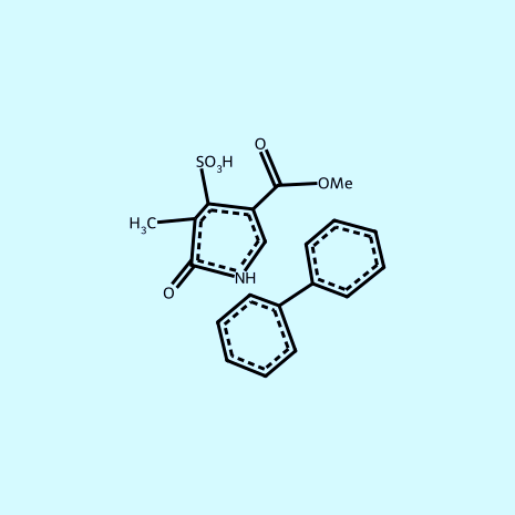 COC(=O)c1c[nH]c(=O)c(C)c1S(=O)(=O)O.c1ccc(-c2ccccc2)cc1